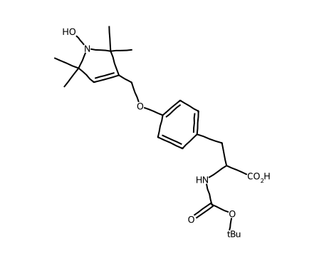 CC(C)(C)OC(=O)NC(Cc1ccc(OCC2=CC(C)(C)N(O)C2(C)C)cc1)C(=O)O